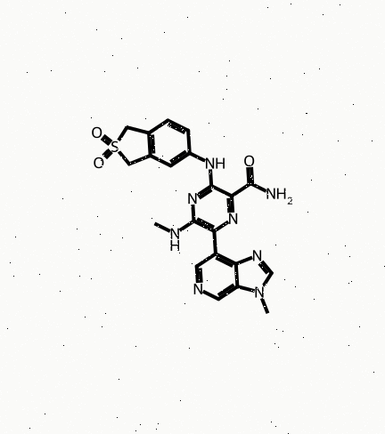 CNc1nc(Nc2ccc3c(c2)CS(=O)(=O)C3)c(C(N)=O)nc1-c1cncc2c1ncn2C